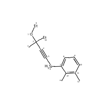 CCOC(C)(C#C[SiH2]c1cccc(C)c1C)CC